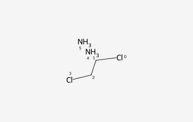 ClCCCl.N.N